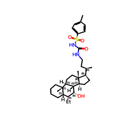 CC[C@H]1[C@@H](O)[C@@H]2[C@H](CC[C@]3(C)[C@@H]([C@H](C)CCNC(=O)NS(=O)(=O)c4ccc(C)cc4)CC[C@@H]23)[C@@]2(C)CCCC[C@@H]12